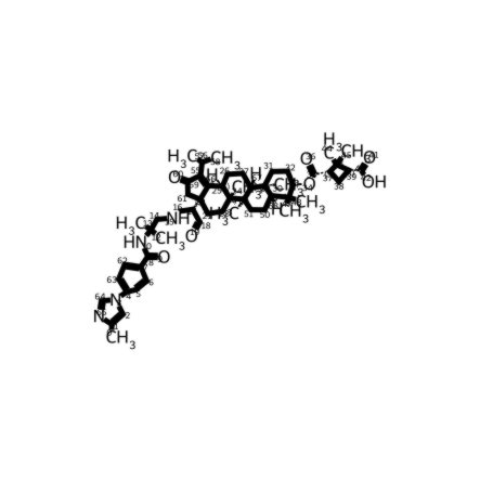 Cc1cn(-c2ccc(C(=O)NC(C)(C)CNCC(C=O)[C@@]34CC[C@]5(C)[C@H](CC[C@@H]6[C@@]7(C)CC[C@H](OC(=O)[C@H]8C[C@@H](C(=O)O)C8(C)C)C(C)(C)[C@@H]7CC[C@]65C)C3=C(C(C)C)C(=O)C4)cc2)cn1